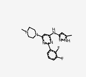 Cc1cc(Nc2cc(N3CCN(C)CC3)nc(-c3cccc(F)c3F)n2)n[nH]1